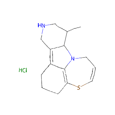 CC1CNCC2=C3CCCC4=C3N(CC=CS4)C21.Cl